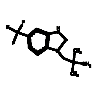 CC(C)(N)CN1[CH]Nc2cc(C(F)(F)F)ccc21